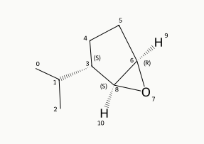 CC(C)[C@@H]1CC[C@H]2O[C@H]21